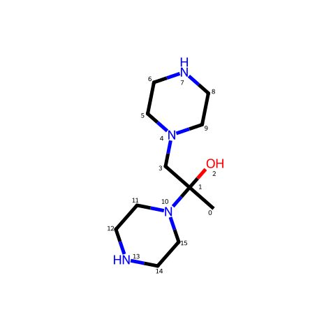 CC(O)(CN1CCNCC1)N1CCNCC1